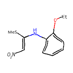 CCOc1ccccc1NC(=C[N+](=O)[O-])SC